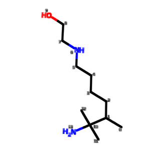 CC(CCCCNCCO)C(C)(C)N